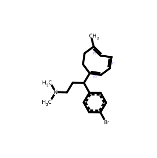 C\C1=C/C=C\C=C(\C(CCN(C)C)c2ccc(Br)cc2)CC1